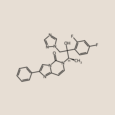 C[C@@H](n1ccc2nc(-c3ccccc3)cn2c1=O)C(O)(Cn1cncn1)c1ccc(F)cc1F